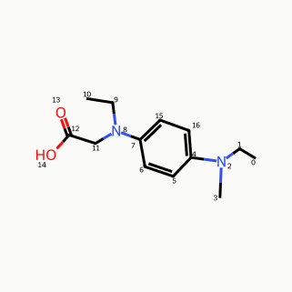 CCN(C)c1ccc(N(CC)CC(=O)O)cc1